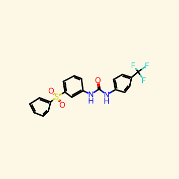 O=C(Nc1ccc(C(F)(F)F)cc1)Nc1cccc(S(=O)(=O)c2ccccc2)c1